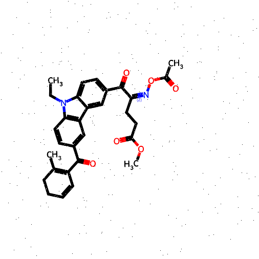 CCn1c2ccc(C(=O)C3=C(C)CCC=C3)cc2c2cc(C(=O)/C(CCC(=O)OC)=N\OC(C)=O)ccc21